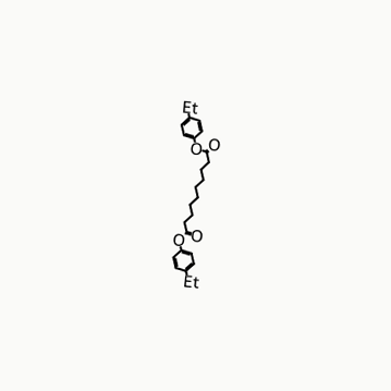 CCc1ccc(OC(=O)CCCCCCCCC(=O)Oc2ccc(CC)cc2)cc1